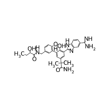 CC[C@@H](O)C(=O)NCc1ccc(O)c(-c2cc(C(C)(C)C(N)=O)cc(-c3nc4cc(C(=N)N)ccc4[nH]3)c2O)c1